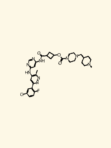 Cc1nnc(-c2cc(Cl)ccc2F)cc1Nc1cc(NC(=O)C2CC(OC(=O)N3CCN(CC4CCN(C)CC4)CC3)C2)ncn1